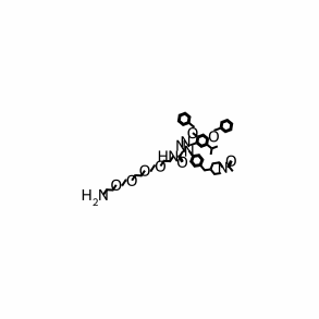 CC(=O)N1CCC(Cc2ccc(-n3c(C(=O)NCCOCCOCCOCCOCCN)nnc3-c3cc(C(C)C)c(OCc4ccccc4)cc3OCc3ccccc3)cc2)CC1